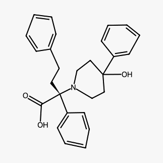 O=C(O)[C@@](CCc1ccccc1)(c1ccccc1)N1CCC(O)(c2ccccc2)CC1